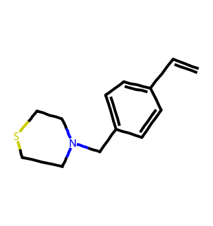 C=Cc1ccc(CN2CCSCC2)cc1